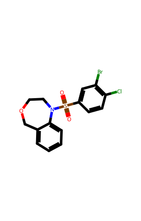 O=S(=O)(c1ccc(Cl)c(Br)c1)N1CCOCc2ccccc21